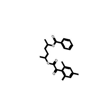 Cc1cc(C)c(C(=O)C(=O)OC(C)CCC(C)OC(=O)c2ccccc2)c(C)c1